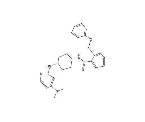 CN(C)c1ccnc(N[C@H]2CC[C@@H](NC(=O)c3ccccc3COc3ccccc3)CC2)n1